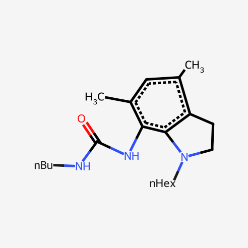 CCCCCCN1CCc2c(C)cc(C)c(NC(=O)NCCCC)c21